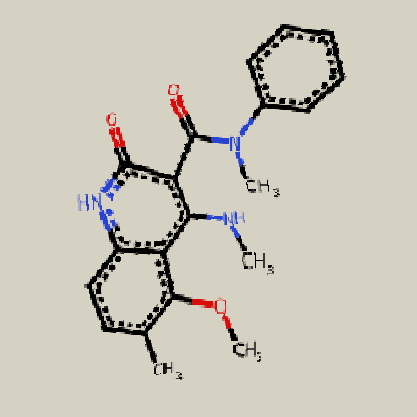 CNc1c(C(=O)N(C)c2ccccc2)c(=O)[nH]c2ccc(C)c(OC)c12